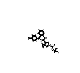 CC(C)(C)OC(=O)N1CC(C2Cc3ccccc3C(c3ccc(F)cc3)=N2)C2(CC2)C1